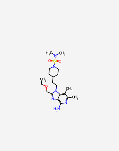 CCOCc1nc2c(N)nc(C)c(C)c2n1CCC1CCN(S(=O)(=O)N(C)C)CC1